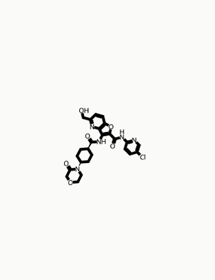 O=C(Nc1ccc(Cl)cn1)c1oc2ccc(CO)nc2c1NC(=O)[C@H]1CC[C@H](N2CCOCC2=O)CC1